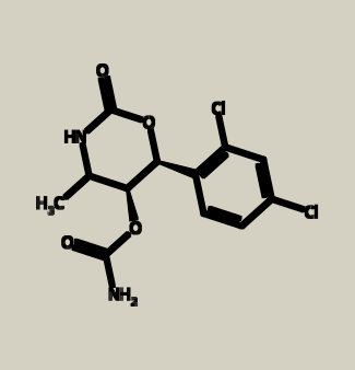 CC1NC(=O)O[C@@H](c2ccc(Cl)cc2Cl)[C@H]1OC(N)=O